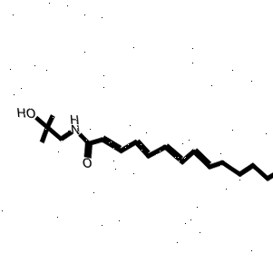 CCCCCC=CC=CC=CC=CC(=O)NCC(C)(C)O